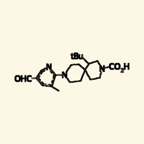 Cc1cc(C=O)cnc1N1CCC2(CCN(C(=O)O)CC2C(C)(C)C)CC1